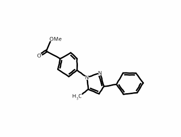 COC(=O)c1ccc(-n2nc(-c3ccccc3)cc2C)cc1